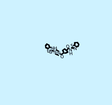 CCc1ccccc1NC(=O)N1CCN(C(=O)c2ccc(C(=O)Nc3nc4ccccc4s3)cc2)CC1